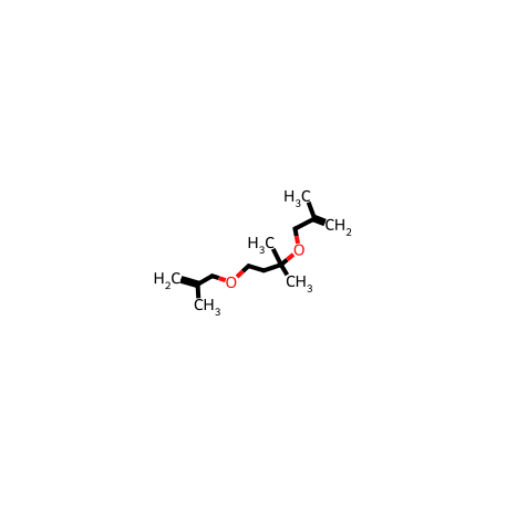 C=C(C)COCCC(C)(C)OCC(=C)C